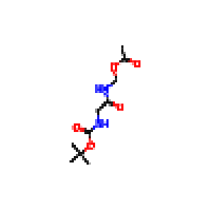 CC(=O)OCNC(=O)CNC(=O)OC(C)(C)C